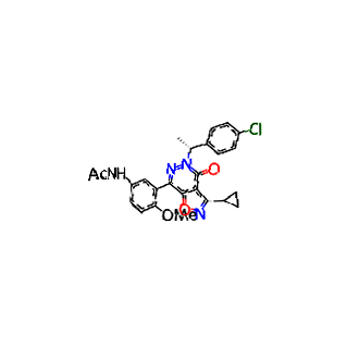 COc1ccc(NC(C)=O)cc1-c1nn([C@H](C)c2ccc(Cl)cc2)c(=O)c2c(C3CC3)noc12